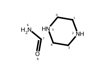 C1CNCCN1.NC=O